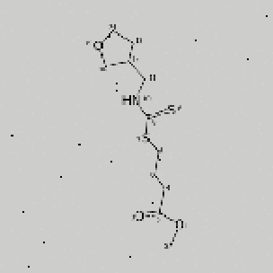 COC(=O)CCCSC(=S)NCC1CCOC1